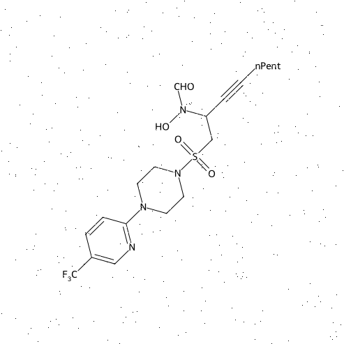 CCCCCC#CC(CS(=O)(=O)N1CCN(c2ccc(C(F)(F)F)cn2)CC1)N(O)C=O